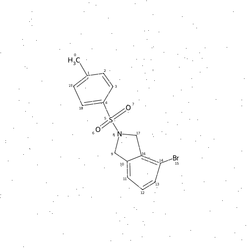 Cc1ccc(S(=O)(=O)N2Cc3cccc(Br)c3C2)cc1